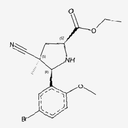 CCOC(=O)[C@@H]1C[C@](C)(C#N)[C@H](c2cc(Br)ccc2OC)N1